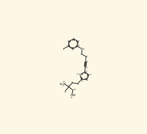 Cc1cccc(OCCC#Cc2ccc(CCC(C)(N)CO)s2)c1